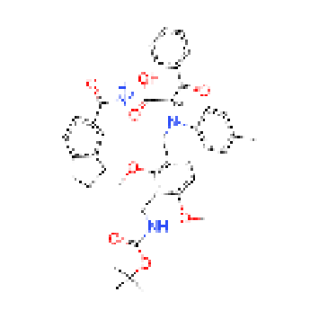 COc1ccc(CN(c2ccc(C)cc2)[C@H](C(=O)O)C(=O)c2ccccc2)c(OC)c1CNC(=O)OC(C)(C)C.NC(=O)c1ccc2c(c1)CCC2